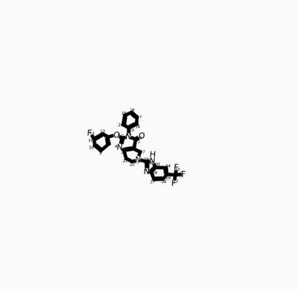 O=c1c2c(nc(Oc3cccc(F)c3)n1-c1ccccc1)CCN(c1nc3ccc(C(F)(F)F)cc3[nH]1)C2